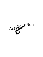 CCCCCCCCCCCC[S@+]([O-])[C@@H]1CCCC[C@H]1OC(C)=O